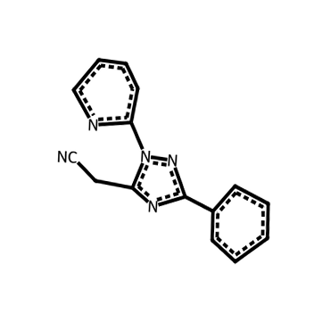 N#CCc1nc(-c2ccccc2)nn1-c1ccccn1